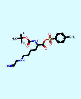 Cc1ccc(S(=O)(=O)OC(=O)C(CCCCNCC=N)NC(=O)OC(C)(C)C)cc1